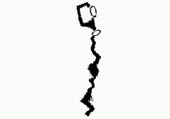 CCCCCC#CCCCCOC1CCCCO1